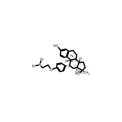 CCN(CC)CCOc1ccc([C@H]2C[C@@]3(C)[C@@H](CC[C@]3(C)O)[C@@H]3CCc4cc(O)ccc4[C@H]32)cc1